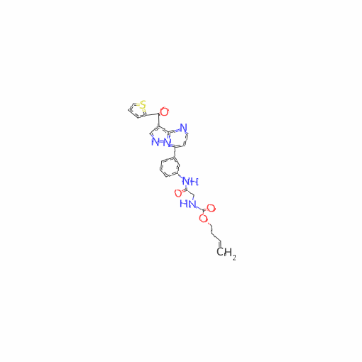 C=CCCOC(=O)NCC(=O)Nc1cccc(-c2ccnc3c(C(=O)c4cccs4)cnn23)c1